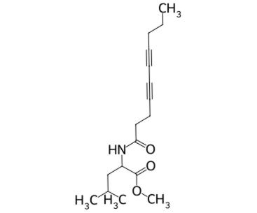 CCCC#CC#CCCC(=O)NC(CC(C)C)C(=O)OC